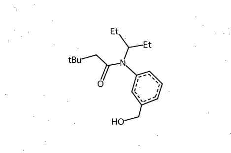 CCC(CC)N(C(=O)CC(C)(C)C)c1cccc(CO)c1